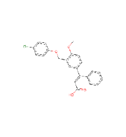 COc1ccc(C(=CC(=O)O)c2ccccc2)cc1COc1ccc(Cl)cc1